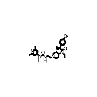 CCN(C(=O)C1(c2ccc(OC)cc2)CC1)C1CCN(CCNC(=O)Nc2cc(C)nc(C)c2)CC1